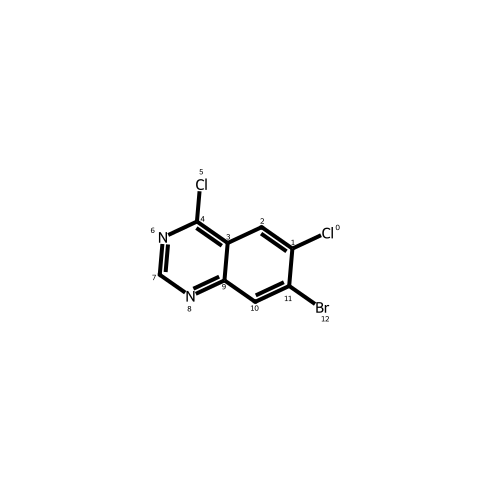 Clc1cc2c(Cl)ncnc2cc1Br